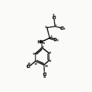 O=C(CC(Cl)Cl)Nc1ccc(Cl)c(Cl)c1